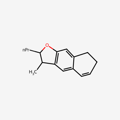 CCCC1Oc2cc3c(cc2C1C)C=CCC3